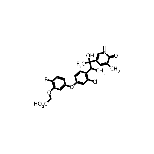 Cc1cc(C(O)(C(C)c2ccc(Oc3ccc(F)c(OCC(=O)O)c3)cc2Cl)C(F)(F)F)c[nH]c1=O